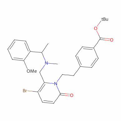 COc1ccccc1C(C)N(C)Cc1c(Br)ccc(=O)n1CCc1ccc(C(=O)OC(C)(C)C)cc1